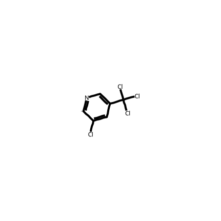 Clc1[c]ncc(C(Cl)(Cl)Cl)c1